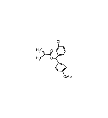 C=C(C)C(=O)OC(c1ccc(OC)cc1)c1cccc(Cl)c1